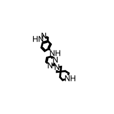 c1cc(Nc2ccc3[nH]ncc3c2)nc(N2CC3(CCNCC3)C2)n1